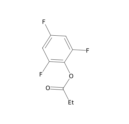 CCC(=O)Oc1c(F)cc(F)cc1F